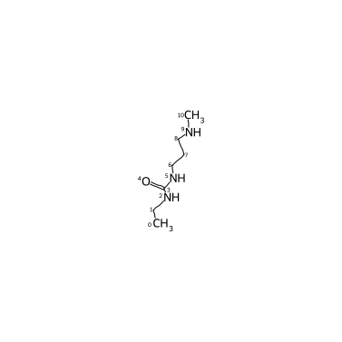 CCNC(=O)NCCCNC